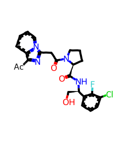 CC(=O)c1nc(CC(=O)N2CCC[C@H]2C(=O)N[C@H](CO)c2cccc(Cl)c2F)n2ccccc12